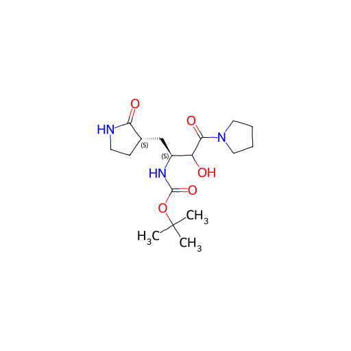 CC(C)(C)OC(=O)N[C@@H](C[C@@H]1CCNC1=O)C(O)C(=O)N1CCCC1